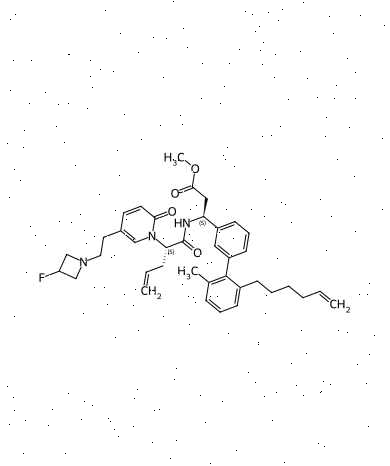 C=CCCCCc1cccc(C)c1-c1cccc([C@H](CC(=O)OC)NC(=O)[C@H](CC=C)n2cc(CCN3CC(F)C3)ccc2=O)c1